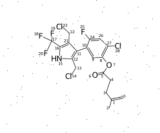 C=C(C)CCC(=O)Oc1cc(-c2c(CCl)[nH]c(C(F)(F)F)c2CCl)c(F)cc1Cl